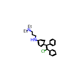 CCN(CC)CCCNc1ccc(C(=C(Cl)c2ccccc2)c2ccccc2)cc1